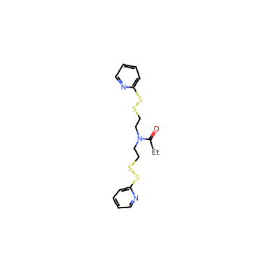 CCC(=O)N(CCSSc1ccccn1)CCSSc1ccccn1